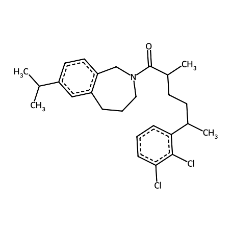 CC(CCC(C)c1cccc(Cl)c1Cl)C(=O)N1CCCc2cc(C(C)C)ccc2C1